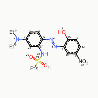 CCN(CC)c1ccc(N=Nc2cc([N+](=O)[O-])ccc2O)c(NS(=O)(=O)CC)c1